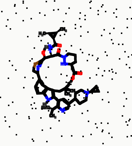 CCO[C@@H]1C2=NC(CS2)c2ccc3c(c2)c(c(-c2cc(C4CCN(C5CC5)CC4)cnc2[C@H](C)OC)n3CC)CC(C)(C)COC(=O)[C@@H]2CCCN(N2)C(=O)[C@H]1NC(=O)[C@H]1[C@H](C)[C@@H]1C